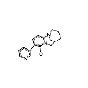 O=c1c(-c2cccnc2)ccc2n1CC1CCCN2C1